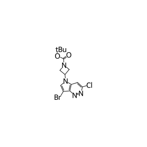 CC(C)(C)OC(=O)N1CC(n2cc(Br)c3nnc(Cl)cc32)C1